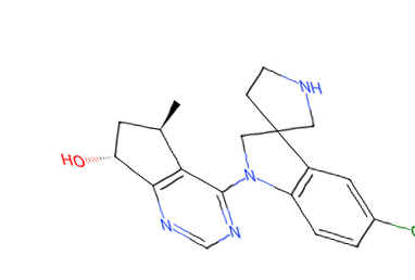 C[C@@H]1C[C@@H](O)c2ncnc(N3CC4(CCNC4)c4cc(Cl)ccc43)c21